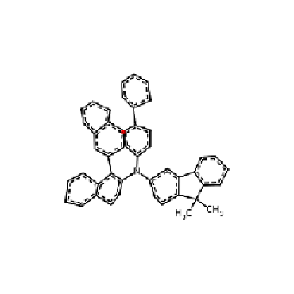 CC1(C)c2ccccc2-c2cc(N(c3ccc(-c4ccccc4)cc3)c3ccc4ccccc4c3-c3ccc4ccccc4c3)ccc21